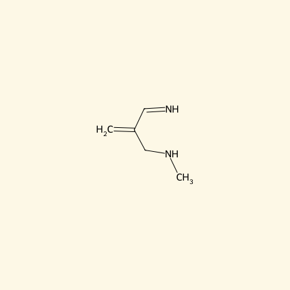 C=C(C=N)CNC